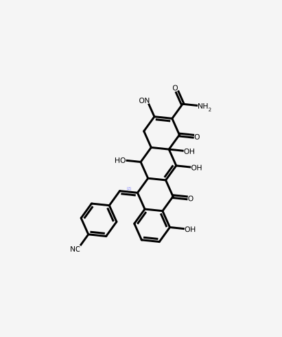 N#Cc1ccc(/C=C2\c3cccc(O)c3C(=O)C3=C(O)C4(O)C(=O)C(C(N)=O)=C(N=O)CC4C(O)C32)cc1